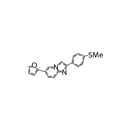 CSc1ccc(-c2cn3cc(-c4cc[c]o4)ccc3n2)cc1